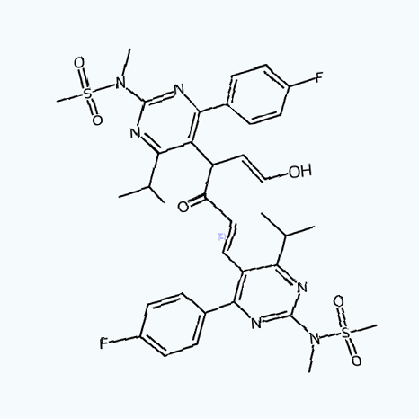 CC(C)c1nc(N(C)S(C)(=O)=O)nc(-c2ccc(F)cc2)c1/C=C/C(=O)C(C=CO)c1c(-c2ccc(F)cc2)nc(N(C)S(C)(=O)=O)nc1C(C)C